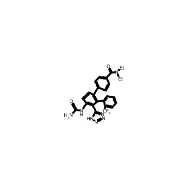 CCN(CC)C(=O)c1ccc(-c2ccc(NC(N)=O)c(-c3nnn[nH]3)c2-c2ccccc2C(F)(F)F)cc1